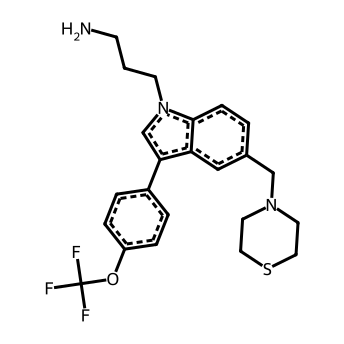 NCCCn1cc(-c2ccc(OC(F)(F)F)cc2)c2cc(CN3CCSCC3)ccc21